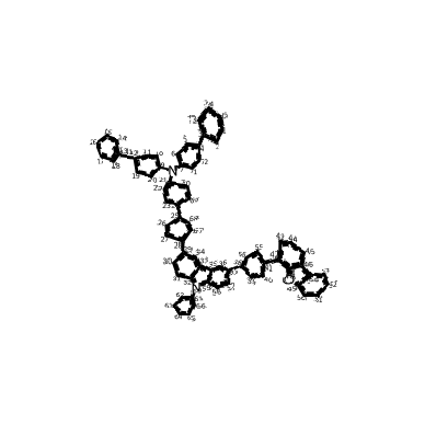 c1ccc(-c2ccc(N(c3ccc(-c4ccccc4)cc3)c3ccc(-c4ccc(-c5ccc6c(c5)c5cc(-c7ccc(-c8cccc9c8oc8ccccc89)cc7)ccc5n6-c5ccccc5)cc4)cc3)cc2)cc1